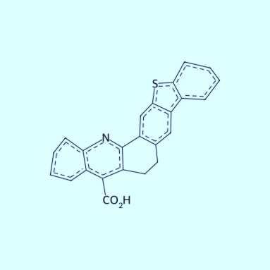 O=C(O)c1c2c(nc3ccccc13)-c1cc3sc4ccccc4c3cc1CC2